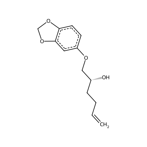 C=CCC[C@@H](O)COc1ccc2c(c1)OCO2